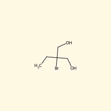 CCC(Br)(CO)CO